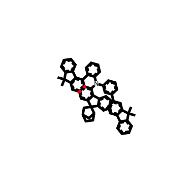 CC1(C)c2ccccc2-c2ccc(-c3cccc(N(c4ccccc4-c4cccc5c4-c4ccccc4C5(C)C)c4cccc5c4-c4ccccc4C54CC5CCC4C5)c3)cc21